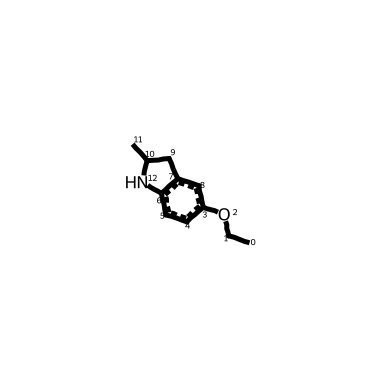 CCOc1ccc2c(c1)CC(C)N2